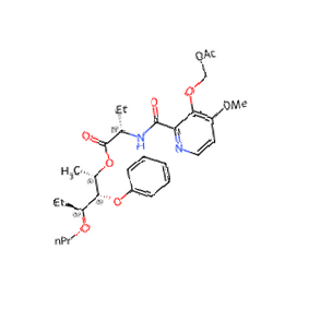 CCCO[C@@H](CC)[C@@H](Oc1ccccc1)[C@H](C)OC(=O)[C@H](CC)NC(=O)c1nccc(OC)c1OCOC(C)=O